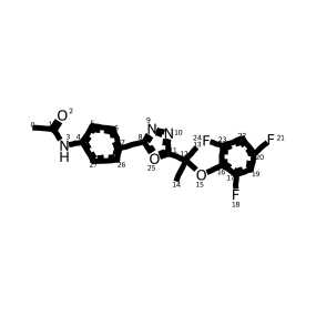 CC(=O)Nc1ccc(-c2nnc(C(C)(C)Oc3c(F)cc(F)cc3F)o2)cc1